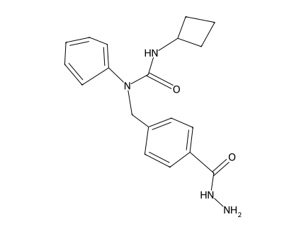 NNC(=O)c1ccc(CN(C(=O)NC2CCC2)c2ccccc2)cc1